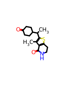 Cc1c(C(C)C2CCC(=O)CC2)sc2c1C(=O)NCC2